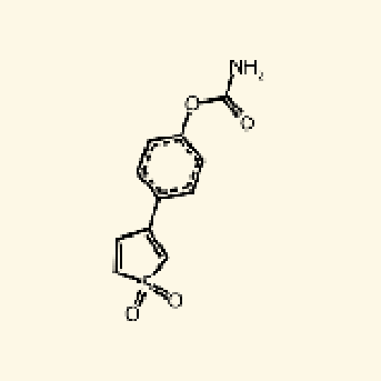 NC(=O)Oc1ccc(C2=CS(=O)(=O)C=C2)cc1